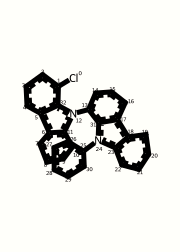 Clc1cccc2c3ccccc3n(-c3cccc4c5ccccc5n(-c5ccccc5)c34)c12